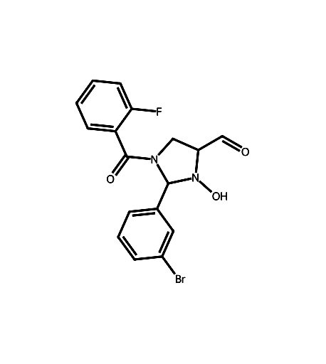 O=CC1CN(C(=O)c2ccccc2F)C(c2cccc(Br)c2)N1O